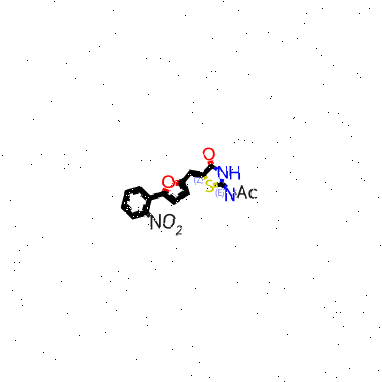 CC(=O)/N=C1\NC(=O)/C(=C/c2ccc(-c3ccccc3[N+](=O)[O-])o2)S1